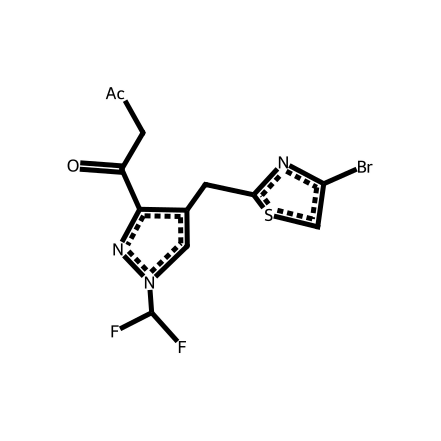 CC(=O)CC(=O)c1nn(C(F)F)cc1Cc1nc(Br)cs1